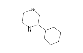 C1CCC(C2C[N]CCN2)CC1